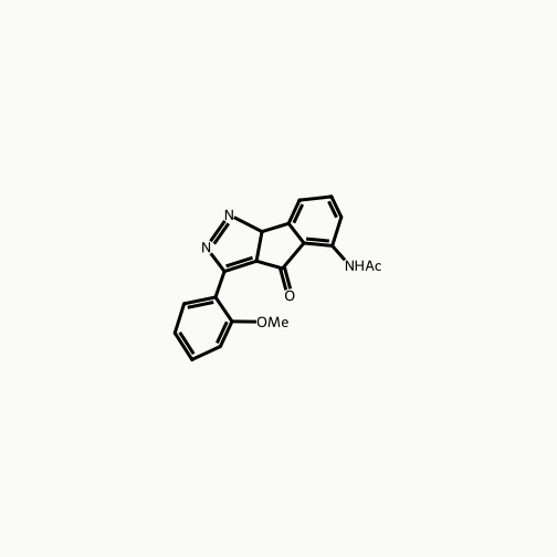 COc1ccccc1C1=C2C(=O)c3c(NC(C)=O)cccc3C2N=N1